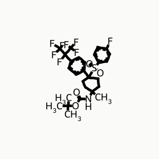 CC1(NC(=O)OC(C)(C)C)CCC(c2ccc(C(F)(C(F)(F)F)C(F)(F)F)cc2)(S(=O)(=O)c2ccc(F)cc2)CC1